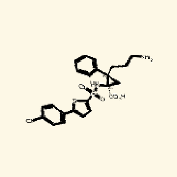 NCCC[C@@]1(c2ccccc2)C[C@]1(NS(=O)(=O)c1ccc(-c2ccc(Cl)cc2)s1)C(=O)O